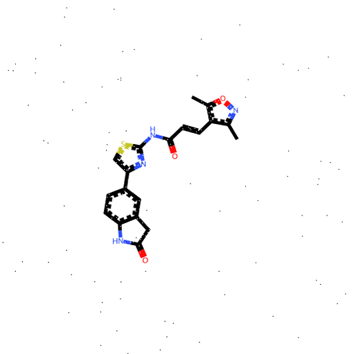 Cc1noc(C)c1C=CC(=O)Nc1nc(-c2ccc3c(c2)CC(=O)N3)cs1